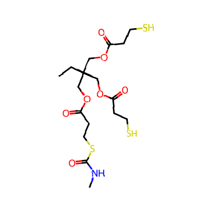 CCC(COC(=O)CCS)(COC(=O)CCS)COC(=O)CCSC(=O)NC